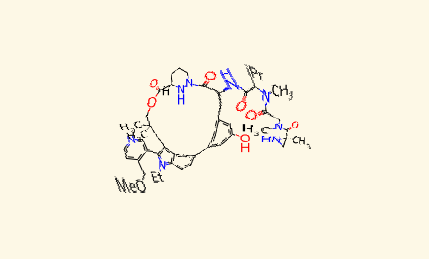 CCn1c(-c2cnccc2COC)c2c3cc(ccc31)-c1cc(O)cc(c1)C[C@H](NC(=O)C(C(C)C)N(C)C(=O)CN(C)C(=O)[C@@]1(C)CN1)C(=O)N1CCC[C@H](N1)C(=O)OCC(C)(C)C2